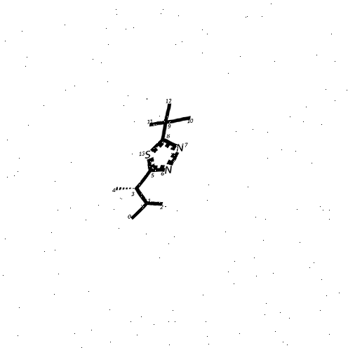 CC(C)[C@H](C)c1nnc(C(C)(C)C)s1